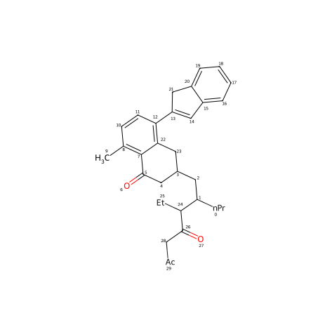 CCCC(CC1CC(=O)c2c(C)ccc(C3=Cc4ccccc4C3)c2C1)C(CC)C(=O)CC(C)=O